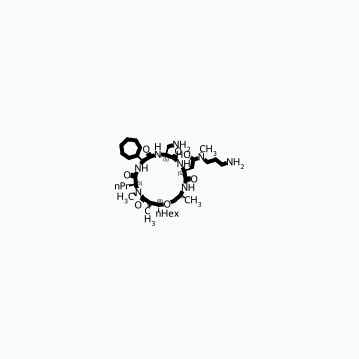 CCCCCC[C@H]1OC[C@@H](C)NC(=O)[C@H](CC(O)N(C)CCCN)NC(=O)[C@H](CN)NC(=O)[C@H](C2CCCCCC2)NC(=O)[C@H](CCC)N(C)C(=O)[C@@H]1C